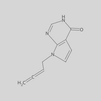 C=C=CCn1ccc2c(=O)[nH]cnc21